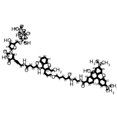 C=CC1=C(/C=C\COCCCCC(=O)NCCNC(=O)c2ccc(-c3c4ccc(=[N+](C)C)cc-4oc4cc(N(C)C)ccc34)c(C(=O)O)c2)C(NC(=O)CCC(=O)NCC#Cc2cn(C3CC(O)C(COP(=O)(O)OP(=O)(O)OP(=O)(O)O)O3)c(=O)[nH]c2=O)c2ccccc2O1